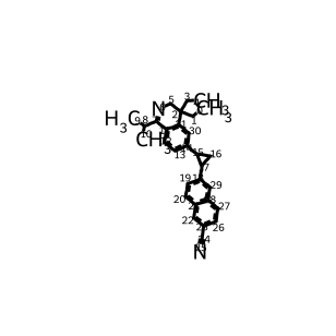 CCC1(CC)CN=C(C(C)C)c2ccc(C3CC3c3ccc4cc(C#N)ccc4c3)cc21